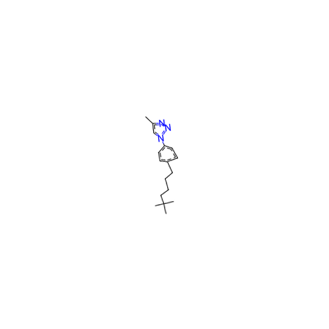 Cc1cn(-c2ccc(CCCCC(C)(C)C)cc2)nn1